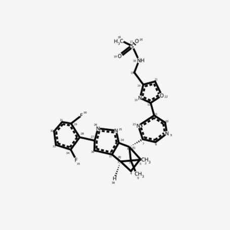 CC1(C)[C@H]2CC[C@]1(c1cncc(-c3nc(CNS(C)(=O)=O)co3)n1)c1nnc(-c3c(F)cccc3F)cc12